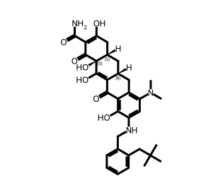 CN(C)c1cc(NCc2ccccc2CC(C)(C)C)c(O)c2c1C[C@H]1C[C@H]3CC(O)=C(C(N)=O)C(=O)[C@@]3(O)C(O)=C1C2=O